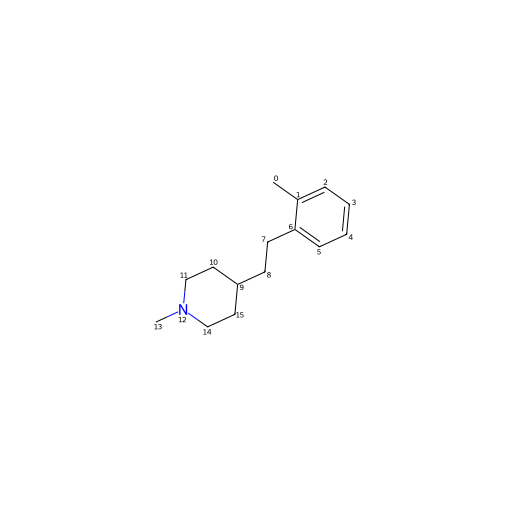 Cc1ccccc1CCC1CCN(C)CC1